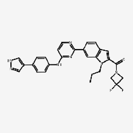 CCCn1c(C(=O)N2CC(F)(F)C2)cc2ccc(-c3nccc(Nc4ccc(-c5cn[nH]c5)cc4)n3)cc21